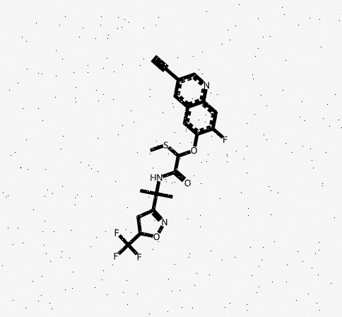 C#Cc1cnc2cc(F)c(OC(SC)C(=O)NC(C)(C)C3=NOC(C(F)(F)F)C3)cc2c1